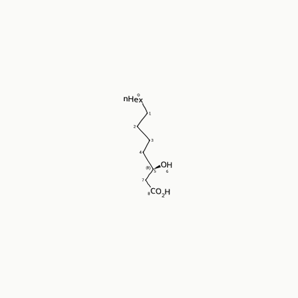 CCCCCCCCCC[C@@H](O)CC(=O)O